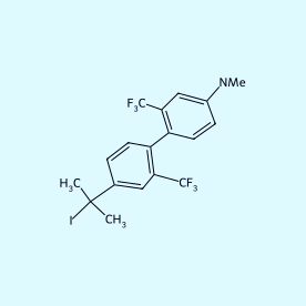 CNc1ccc(-c2ccc(C(C)(C)I)cc2C(F)(F)F)c(C(F)(F)F)c1